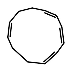 [C]1=CC=CCCC=CCCC=C1